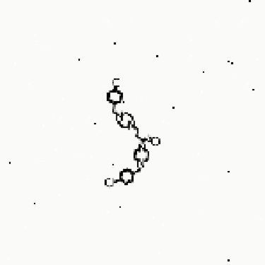 O=S=C(CCN1CCN(Cc2ccc(Cl)cc2)CC1)N1CCN(Cc2ccc(Cl)cc2)CC1